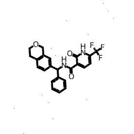 O=C(NC(c1ccccc1)c1ccc2c(c1)COCC2)c1ccc(C(F)(F)F)[nH]c1=O